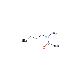 CC(C)(C)CCCN(C(=O)C(C)(C)C)C(C)(C)C